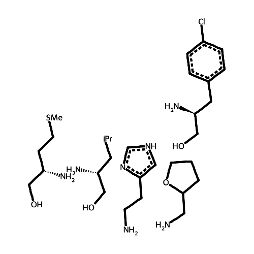 CC(C)C[C@@H](N)CO.CSCC[C@H](N)CO.NCC1CCCO1.NCCc1c[nH]cn1.N[C@H](CO)Cc1ccc(Cl)cc1